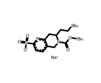 CC(C)(C)CCC1Cc2nc(S(=O)(=O)[O-])ccc2CN1C(=O)OC(C)(C)C.[Na+]